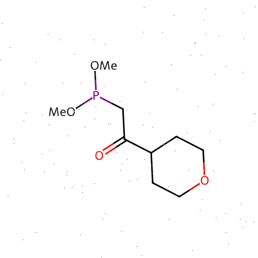 COP(CC(=O)C1CCOCC1)OC